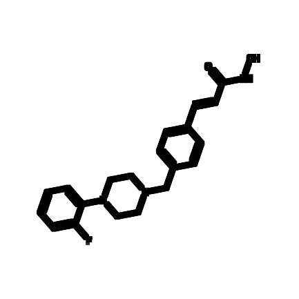 O=C(/C=C/c1ccc(CN2CCN(c3ccccc3F)CC2)cc1)NO